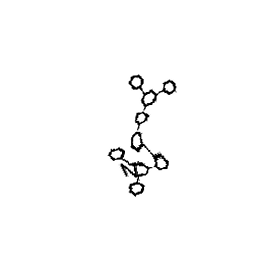 c1ccc(-c2cc(-c3ccccc3)cc(-c3ccc(-c4cccc(-c5ccccc5-c5cc(-c6ccccc6)nc(-c6ccccc6)c5)c4)cc3)c2)cc1